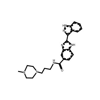 CN1CCN(CCCNC(=O)c2ccc3[nH]c(-c4n[nH]c5ccccc45)nc3c2)CC1